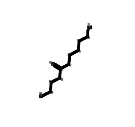 O=C(CCCCCS)OCCCl